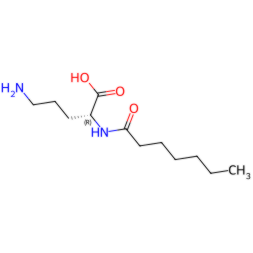 CCCCCCC(=O)N[C@H](CCCN)C(=O)O